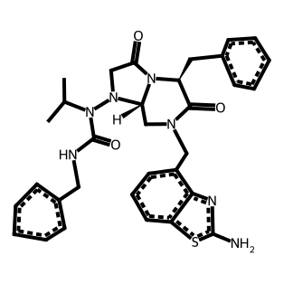 CC(C)N(C(=O)NCc1ccccc1)N1CC(=O)N2[C@@H](Cc3ccccc3)C(=O)N(Cc3cccc4sc(N)nc34)C[C@@H]21